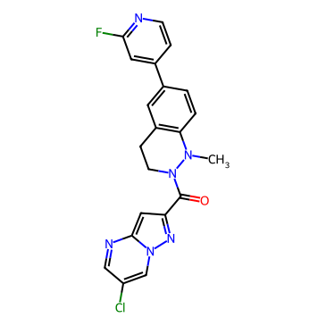 CN1c2ccc(-c3ccnc(F)c3)cc2CCN1C(=O)c1cc2ncc(Cl)cn2n1